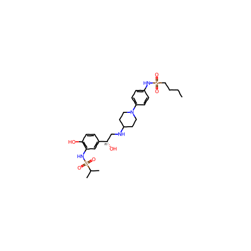 CCCCS(=O)(=O)Nc1ccc(N2CCC(NC[C@H](O)c3ccc(O)c(NS(=O)(=O)C(C)C)c3)CC2)cc1